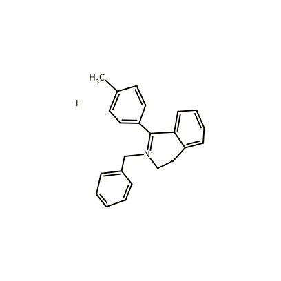 Cc1ccc(C2=[N+](Cc3ccccc3)CCc3ccccc32)cc1.[I-]